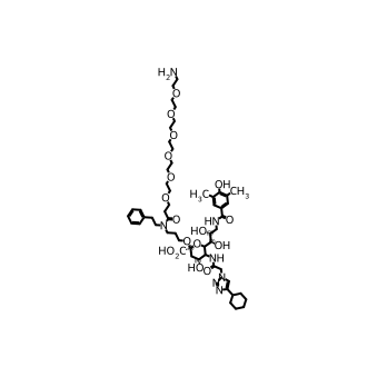 Cc1cc(C(=O)NC[C@@H](O)[C@@H](O)C2O[C@@](OCCCN(CCc3ccccc3)C(=O)CCOCCOCCOCCOCCOCCOCCN)(C(=O)O)C[C@@H](O)C2NC(=O)Cn2cc(C3CCCCC3)nn2)cc(C)c1O